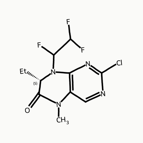 CC[C@H]1C(=O)N(C)c2cnc(Cl)nc2N1C(F)C(F)F